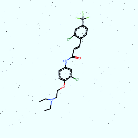 CCN(CC)CCOc1ccc(NC(=O)C=Cc2ccc(C(F)(F)F)cc2Cl)cc1Cl